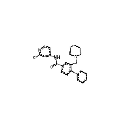 O=C(Nc1ccnc(Cl)c1)c1ccc(-c2ccccc2)c(CN2CCCCC2)c1